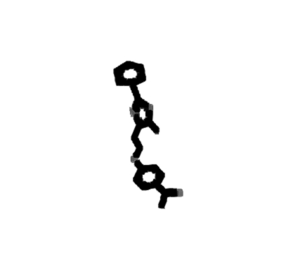 CC(=O)c1ccc(OCCc2nc(-c3ccccc3)oc2C)cc1